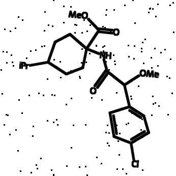 COC(=O)C1(NC(=O)C(OC)c2ccc(Cl)cc2)CCC(C(C)C)CC1